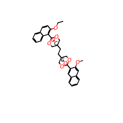 CCOc1ccc2ccccc2c1C12OCC(CCC34COC(c5cc6ccccc6cc5OC)(OC3)OC4)(CO1)CO2